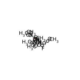 CCN1C[C@H](C)n2c(c(OC)c3c(=O)n(Cc4ccc(F)cc4OCc4ccc(OC)cc4)nc(N(C)S(=O)(=O)CCCCOC(=O)C(C)(C)C)c32)C1=O